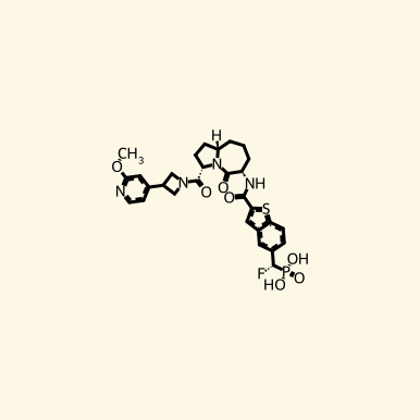 COc1cc(C2CN(C(=O)[C@@H]3CC[C@@H]4CCC[C@H](NC(=O)c5cc6cc([C@@H](F)P(=O)(O)O)ccc6s5)C(=O)N43)C2)ccn1